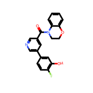 O=C(c1cncc(-c2ccc(F)c(O)c2)c1)N1CCOc2ccccc21